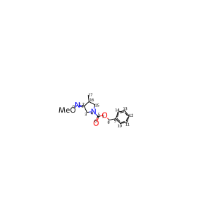 CO/N=C1\CN(C(=O)OCc2ccccc2)CC1C